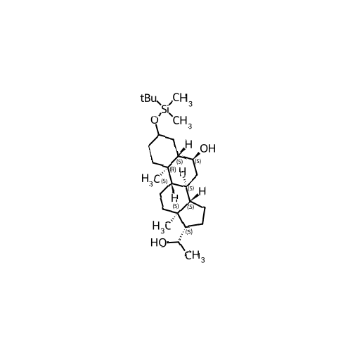 CC(O)[C@H]1CC[C@H]2[C@@H]3C[C@H](O)[C@H]4CC(O[Si](C)(C)C(C)(C)C)CC[C@]4(C)[C@H]3CC[C@]12C